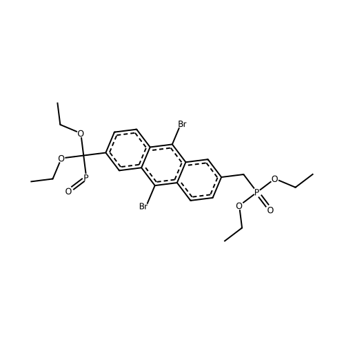 CCOC(OCC)(P=O)c1ccc2c(Br)c3cc(CP(=O)(OCC)OCC)ccc3c(Br)c2c1